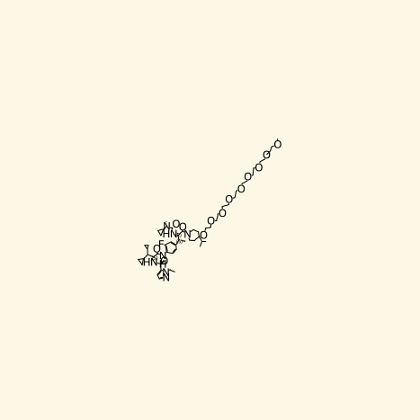 CCn1nccc1C(=O)N[C@H](C(=O)Nc1ccc([C@H](C)[C@@H](NC(=O)N(C)C2CC2)C(=O)N2CCC(OCCOCCOCCOCCOCCOCCOCCOCCOC)(C(C)C)CC2)cc1F)C(C1CC1)C1CC1